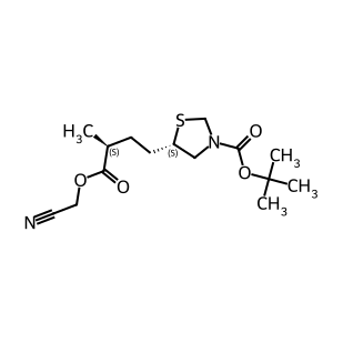 C[C@@H](CC[C@H]1CN(C(=O)OC(C)(C)C)CS1)C(=O)OCC#N